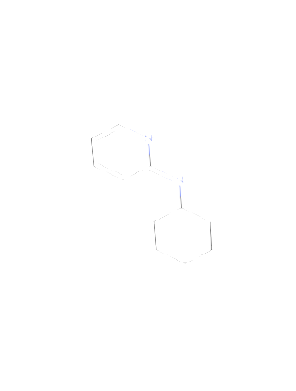 C1=C[N]C(=NC2CCCCC2)C=C1